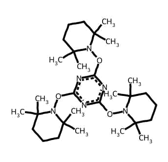 CC1(C)CCCC(C)(C)N1Oc1nc(ON2C(C)(C)CCCC2(C)C)nc(ON2C(C)(C)CCCC2(C)C)n1